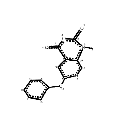 Cn1c(=O)oc(=O)c2cc(Oc3ccccc3)ncc21